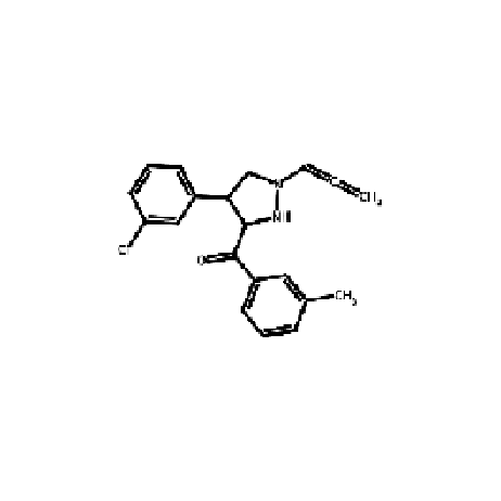 C=C=CN1CC(c2cccc(Cl)c2)C(C(=O)c2cccc(C)c2)N1